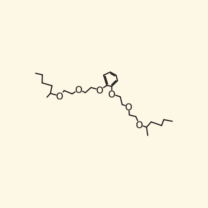 CCCCC(C)OCCOCCOc1ccccc1OCCOCCOC(C)CCCC